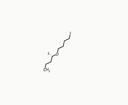 CCC[C@H](I)OCCCCI